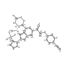 CN1CCN(c2cc(C(=O)NCc3ccc(C#N)cc3)nc3cc(-c4ccnn4C(C)(C)C)nn23)[C@H](CF)C1